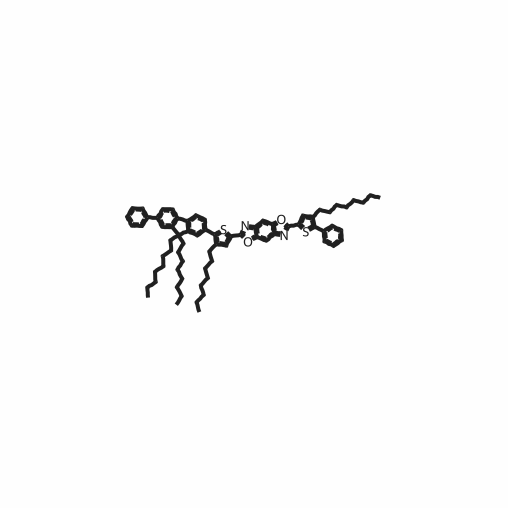 CCCCCCCCc1cc(-c2nc3cc4oc(-c5cc(CCCCCCCC)c(-c6ccc7c(c6)C(CCCCCCCC)(CCCCCCCC)c6cc(-c8ccccc8)ccc6-7)s5)nc4cc3o2)sc1-c1ccccc1